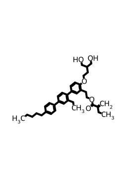 C=C(CC)C(=O)OCCc1cc(-c2ccc(-c3ccc(CCCCC)cc3)cc2CC)ccc1OCCC(CO)CO